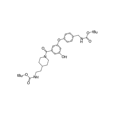 CC(C)(C)OC(=O)NCCC1CCN(C(=O)c2cc(O)cc(Oc3ccc(CNC(=O)OC(C)(C)C)cc3)c2)CC1